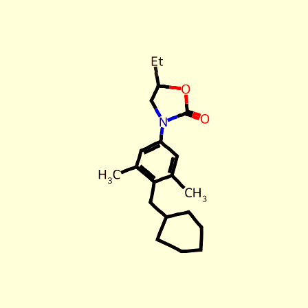 CCC1CN(c2cc(C)c(CC3CCCCC3)c(C)c2)C(=O)O1